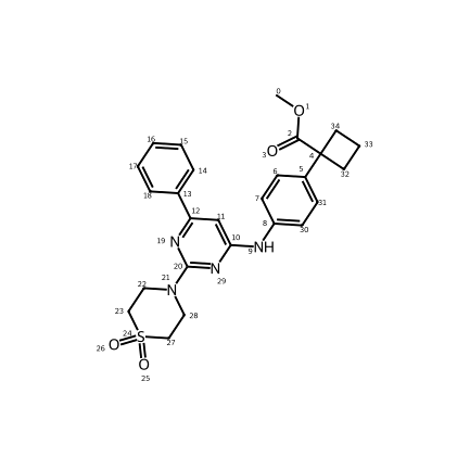 COC(=O)C1(c2ccc(Nc3cc(-c4ccccc4)nc(N4CCS(=O)(=O)CC4)n3)cc2)CCC1